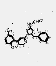 COc1ccc(C)cc1-c1ccnc(N2N=C(NC=O)NC2Cc2ccccc2)c1